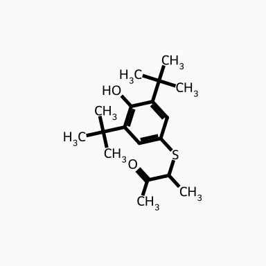 CC(=O)C(C)Sc1cc(C(C)(C)C)c(O)c(C(C)(C)C)c1